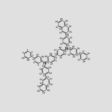 c1ccc(-c2ccc(N(c3ccc(-c4ccc(N(c5ccc(-c6ccccc6)cc5)c5ccc(-c6ccc7ccccc7c6)cc5)cc4)cc3)c3ccc(-c4ccc5ccccc5c4)cc3)cc2)cc1